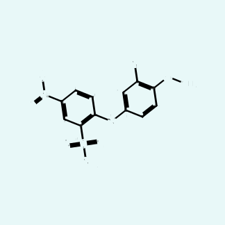 COc1ccc(Nc2ccc([N+](=O)[O-])cc2S(N)(=O)=O)cc1N